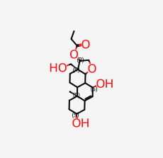 CCC(=O)O[C@H]1COC2C3C(CC[C@@]21CO)[C@@]1(C)CC[C@H](O)CC1=C[C@@H]3O